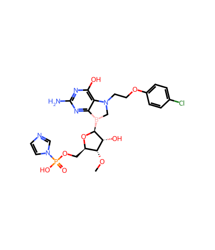 CO[C@H]1[C@@H](O)[C@H](B2CN(CCOc3ccc(Cl)cc3)c3c(O)nc(N)nc32)O[C@@H]1COP(=O)(O)n1ccnc1